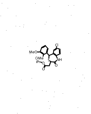 COc1cccc(C2SC(CC(=O)OC(C)C)C(=O)Nc3ccc(Cl)cc32)c1OC